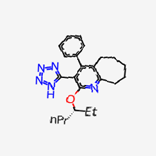 CCC[C@@H](CC)Oc1nc2c(c(-c3ccccc3)c1-c1nnn[nH]1)CCCCC2